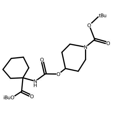 CC(C)COC(=O)C1(NC(=O)OC2CCN(C(=O)OC(C)(C)C)CC2)CCCCC1